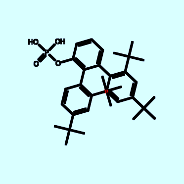 CC(C)(C)c1ccc(-c2cccc(OP(=O)(O)O)c2-c2ccc(C(C)(C)C)cc2C(C)(C)C)c(C(C)(C)C)c1